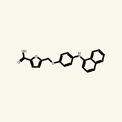 O=C(O)c1ccc(COc2ccc(Nc3cccc4ccccc34)cc2)o1